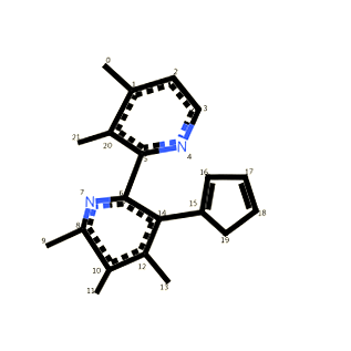 Cc1ccnc(-c2nc(C)c(C)c(C)c2C2=CC=CC2)c1C